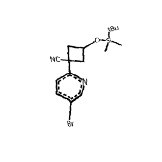 CC(C)(C)[Si](C)(C)OC1CC(C#N)(c2ccc(Br)cn2)C1